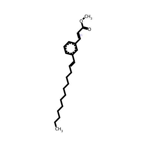 CCCCCCCCCCCC=Cc1cccc(/C=C/C(=O)OC)c1